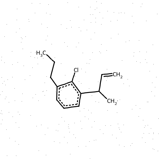 [CH2]C(C=C)c1cccc(CCC)c1Cl